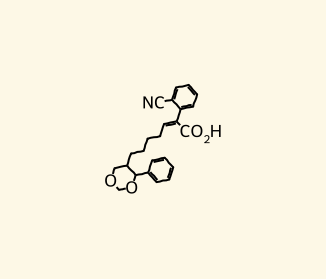 N#Cc1ccccc1C(=CCCCCC1COCOC1c1ccccc1)C(=O)O